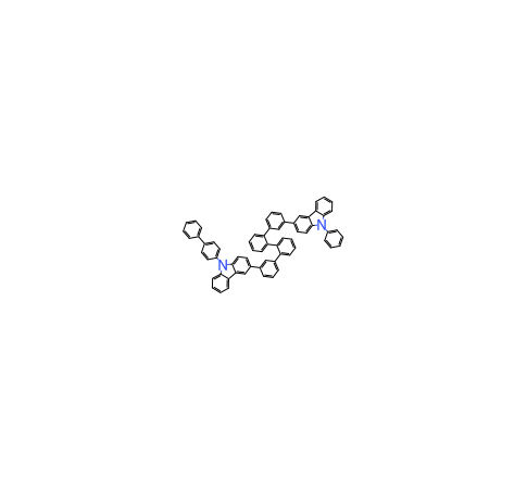 c1ccc(-c2ccc(-n3c4ccccc4c4cc(-c5cccc(-c6ccccc6-c6ccccc6-c6cccc(-c7ccc8c(c7)c7ccccc7n8-c7ccccc7)c6)c5)ccc43)cc2)cc1